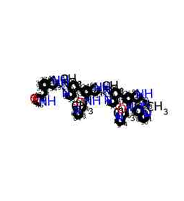 CN1CCCC1CC(=O)Nc1cc(C2CC[C@H](N(C)C[C@@H]3Cc4c(cc(C5CC[C@H](N(C)C[C@H]6Cc7c(cccc7CC7COCCN7)CN6)c6ncccc65)cc4NC(=O)CC4CCCN4C)CN3)c3ncccc32)cc2c1C[C@H](CN(C)[C@H]1CCCc3cccnc31)NC2